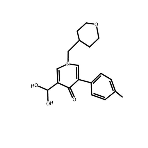 Cc1ccc(-c2cn(CC3CCOCC3)cc(C(O)O)c2=O)cc1